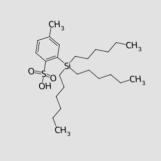 CCCCCC[Si](CCCCCC)(CCCCCC)c1cc(C)ccc1S(=O)(=O)O